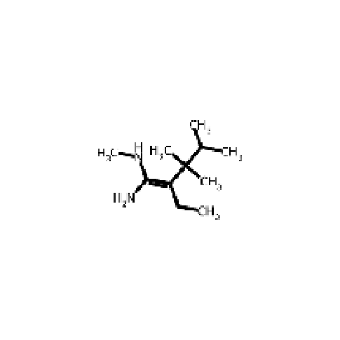 CC/C(=C(\N)NC)C(C)(C)C(C)C